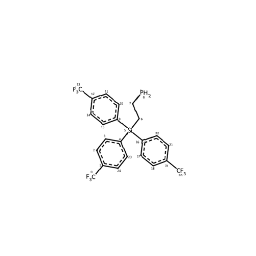 FC(F)(F)c1ccc([Si](CCP)(c2ccc(C(F)(F)F)cc2)c2ccc(C(F)(F)F)cc2)cc1